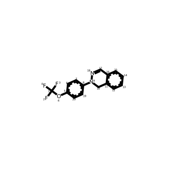 FC(F)(F)Oc1ccc(N2Cc3ccccc3C=N2)cc1